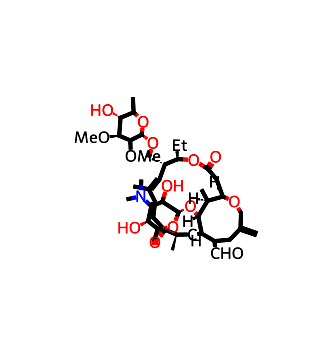 C=C1CO[C@@H]2CC(=O)O[C@H](CC)[C@@H](CO[C@@H]3OC(C)[C@@H](O)[C@H](OC)C3OC)/C=C(C)/C=C/C(=O)[C@H](C)C[C@H](C(C=O)C1)[C@H](O[C@@H]1OC(C)[C@@H](O)C(N(C)C)C1O)[C@H]2C